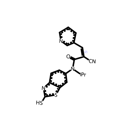 CC(C)N(C(=O)/C(C#N)=C\c1cccnc1)c1ccc2nc(S)sc2c1